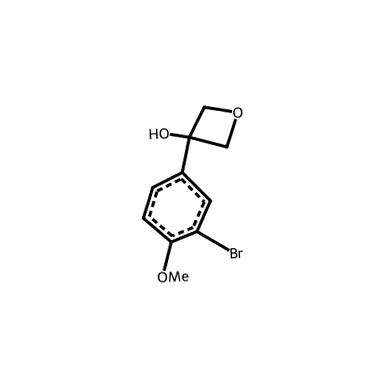 COc1ccc(C2(O)COC2)cc1Br